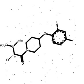 CC[C@@H](C(=O)N1CCC(Oc2ccc(F)cc2F)CC1)N(C(=O)O)C(C)(C)C